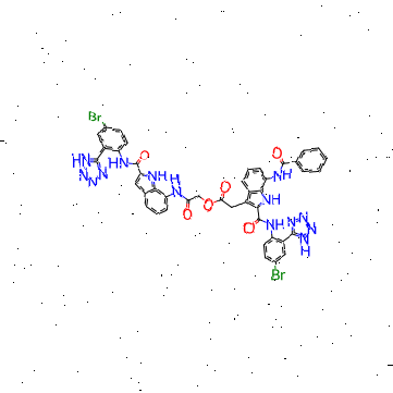 O=C(COC(=O)Cc1c(C(=O)Nc2ccc(Br)cc2-c2nnn[nH]2)[nH]c2c(NC(=O)c3ccccc3)cccc12)Nc1cccc2cc(C(=O)Nc3ccc(Br)cc3-c3nnn[nH]3)[nH]c12